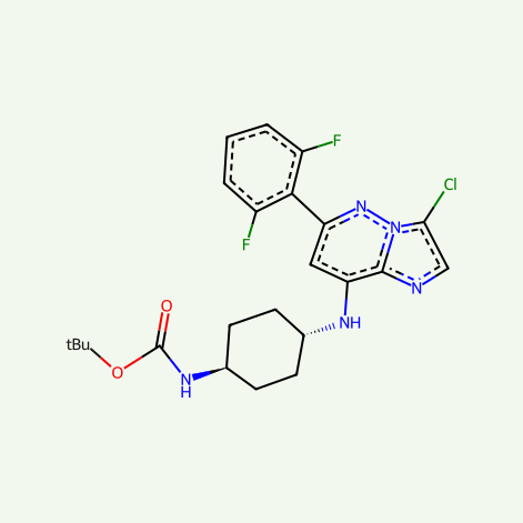 CC(C)(C)OC(=O)N[C@H]1CC[C@H](Nc2cc(-c3c(F)cccc3F)nn3c(Cl)cnc23)CC1